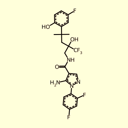 CC(C)(CC(O)(CNC(=O)c1cnn(-c2ccc(F)cc2F)c1N)C(F)(F)F)c1cc(F)ccc1O